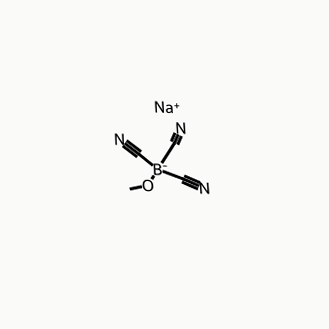 CO[B-](C#N)(C#N)C#N.[Na+]